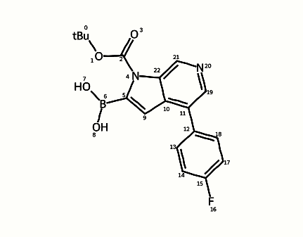 CC(C)(C)OC(=O)n1c(B(O)O)cc2c(-c3ccc(F)cc3)cncc21